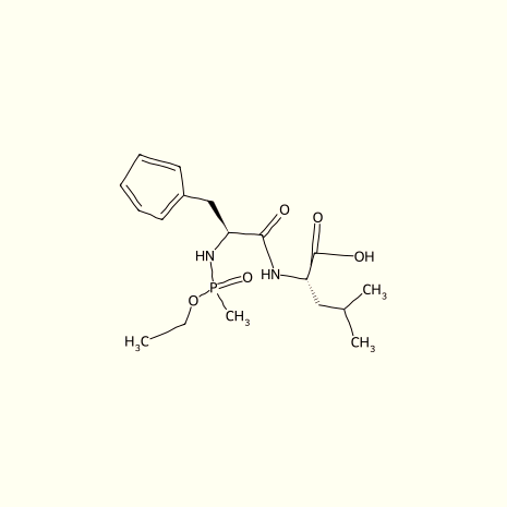 CCOP(C)(=O)N[C@@H](Cc1ccccc1)C(=O)N[C@@H](CC(C)C)C(=O)O